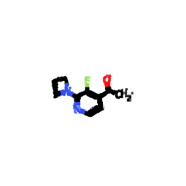 [CH2]C(=O)c1ccnc(N2CCC2)c1F